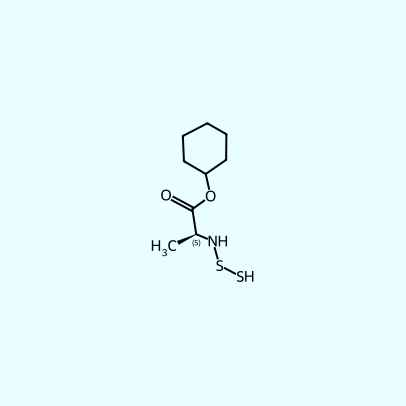 C[C@H](NSS)C(=O)OC1CCCCC1